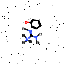 CCN=C(N(CC)CC)[N+](CC)(CC)CC.[O-]c1ccccc1